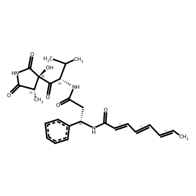 C/C=C/C=C/C=C/C(=O)N[C@@H](CC(=O)N[C@H](C(=O)[C@@]1(O)C(=O)NC(=O)[C@H]1C)C(C)C)c1ccccc1